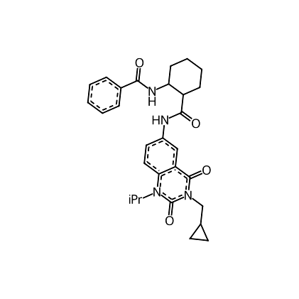 CC(C)n1c(=O)n(CC2CC2)c(=O)c2cc(NC(=O)C3CCCCC3NC(=O)c3ccccc3)ccc21